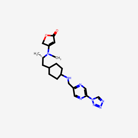 C[C@@H](CC1CCC(NCc2cnc(-n3cnnn3)cn2)CC1)N(C)C1=CC(=O)OC1